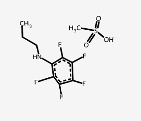 CCCNc1c(F)c(F)c(F)c(F)c1F.CS(=O)(=O)O